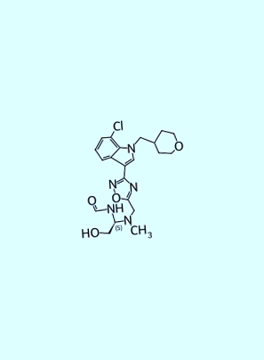 CN(Cc1nc(-c2cn(CC3CCOCC3)c3c(Cl)cccc23)no1)[C@@H](CO)NC=O